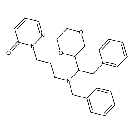 O=c1cccnn1CCCN(Cc1ccccc1)C(Cc1ccccc1)C1COCCO1